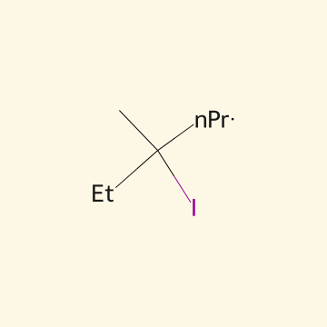 CC[CH]C(C)(I)CC